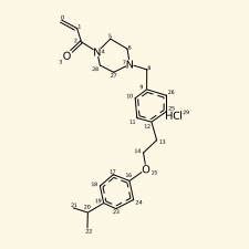 C=CC(=O)N1CCN(Cc2ccc(CCOc3ccc(C(C)C)cc3)cc2)CC1.Cl